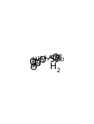 C[Si](C)(C)O[SiH2]CCCOCC1COC(=O)O1